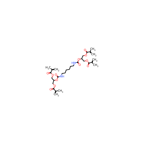 C=C(C)C(=O)OCC(COC(=O)C(=C)C)OC(=O)NCCCCCCNC(=O)OC(COC(=O)C(=C)C)COC(=O)C(=C)C